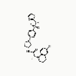 C[C@H](C(=O)N[C@@H]1CCN(c2ccc(S(=O)(=O)Nc3nccs3)cc2)C1)N1CCCc2cc(Cl)ccc21